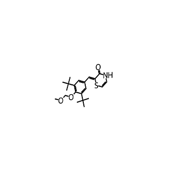 COCOc1c(C(C)(C)C)cc(C=C2SC=CNC2=O)cc1C(C)(C)C